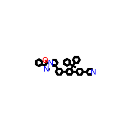 C=Nc1c(N2C=C(c3cccc(-c4ccc(C5=CC=C(c6ccncc6)CC5)c(C(C)(c5ccccc5)c5ccccc5)c4)c3)C=CC2)oc2ccccc12